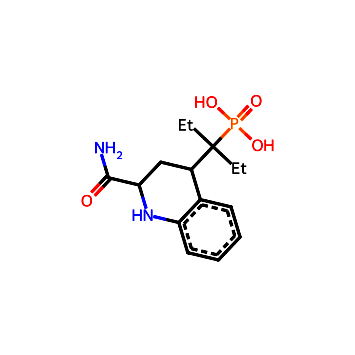 CCC(CC)(C1CC(C(N)=O)Nc2ccccc21)P(=O)(O)O